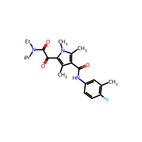 CCN(C(=O)C(=O)c1c(C)c(C(=O)Nc2ccc(F)c(C)c2)c(C)n1C)C(C)C